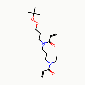 C=CC(=O)N(CC)CCCN(CCCOOC(C)(C)C)C(=O)C=C